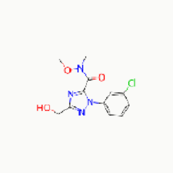 CON(C)C(=O)c1nc(CO)nn1-c1cccc(Cl)c1